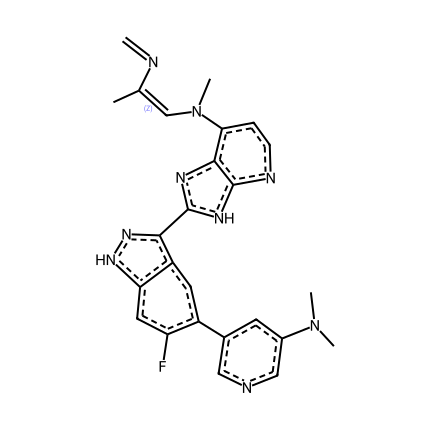 C=N/C(C)=C\N(C)c1ccnc2[nH]c(-c3n[nH]c4cc(F)c(-c5cncc(N(C)C)c5)cc34)nc12